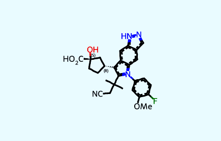 COc1cc(-n2c(C(C)(C)CC#N)c([C@@H]3CC[C@@](O)(C(=O)O)C3)c3cc4[nH]ncc4cc32)ccc1F